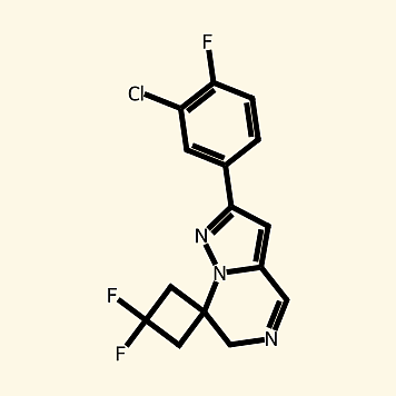 Fc1ccc(-c2cc3n(n2)C2(CN=C3)CC(F)(F)C2)cc1Cl